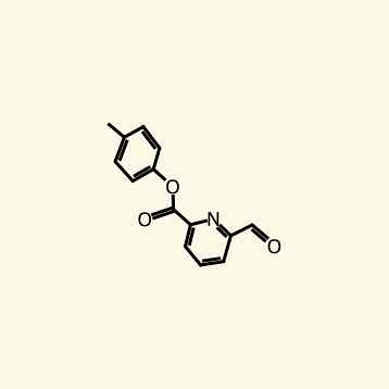 Cc1ccc(OC(=O)c2cccc(C=O)n2)cc1